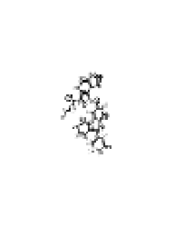 CCOC(=O)c1sc(Oc2ccc(N=C(c3ccccc3)c3ccccc3)nc2)c2c1CCc1cnsc1-2